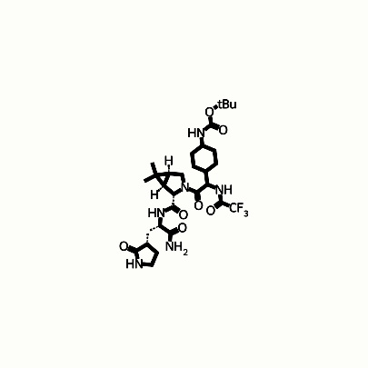 CC(C)(C)OC(=O)NC1CCC(C(NC(=O)C(F)(F)F)C(=O)N2C[C@H]3[C@@H]([C@H]2C(=O)N[C@@H](C[C@@H]2CCNC2=O)C(N)=O)C3(C)C)CC1